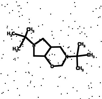 CC(C)(C)N1COC2CN(C(C)(C)C)CC2C1